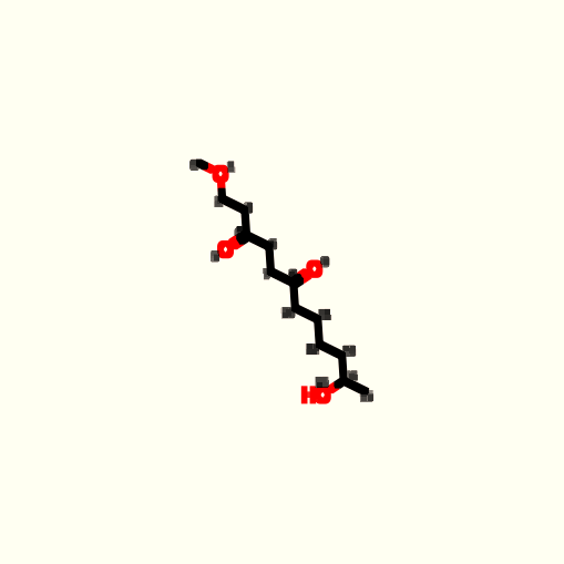 COCCC(=O)CCC(=O)CCCCC(C)O